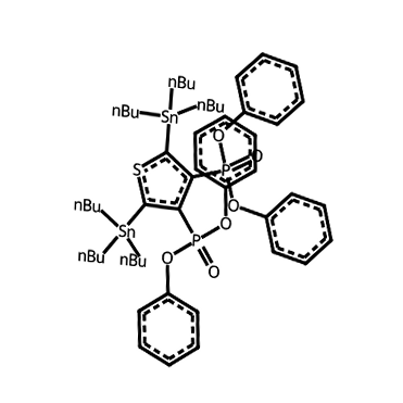 CCC[CH2][Sn]([CH2]CCC)([CH2]CCC)[c]1s[c]([Sn]([CH2]CCC)([CH2]CCC)[CH2]CCC)c(P(=O)(Oc2ccccc2)Oc2ccccc2)c1P(=O)(Oc1ccccc1)Oc1ccccc1